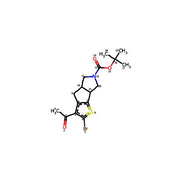 CC(=O)c1c(Br)sc2c1CC1CN(C(=O)OC(C)(C)C)CC21